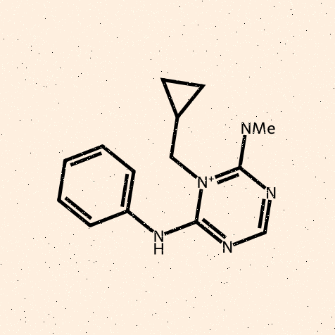 CNc1ncnc(Nc2ccccc2)[n+]1CC1CC1